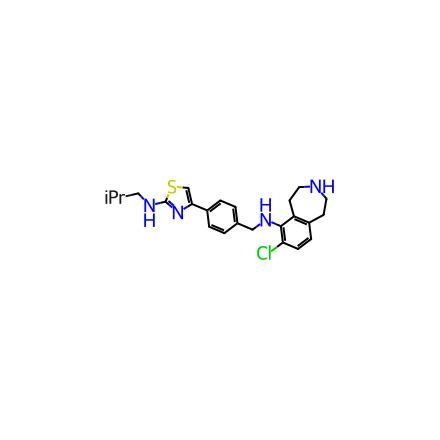 CC(C)CNc1nc(-c2ccc(CNc3c(Cl)ccc4c3CCNCC4)cc2)cs1